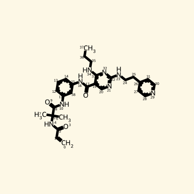 C=CC(=O)NC(C)(C)C(=O)Nc1cccc(NC(=O)c2cnc(NCCc3ccncc3)nc2NCCC)c1